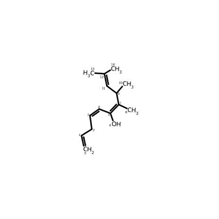 C=CC/C=C\C(O)=C(\C)C(C)C=C(C)C